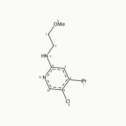 COCCNc1cc(C(C)C)c(Cl)cn1